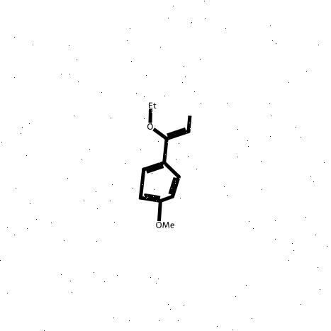 [CH2]COC(=CC)c1ccc(OC)cc1